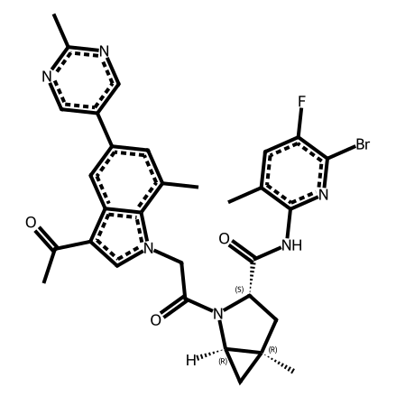 CC(=O)c1cn(CC(=O)N2[C@H](C(=O)Nc3nc(Br)c(F)cc3C)C[C@@]3(C)C[C@@H]23)c2c(C)cc(-c3cnc(C)nc3)cc12